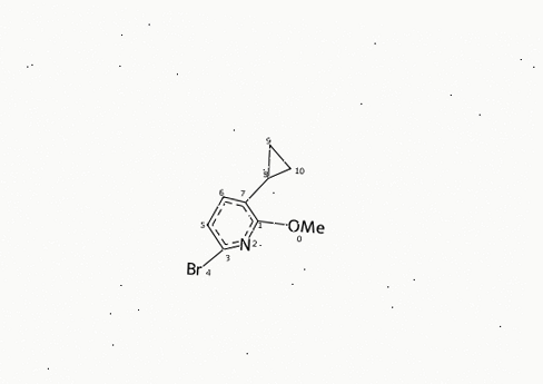 COc1nc(Br)ccc1C1CC1